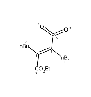 CCCCC(C(=O)OCC)=C(CCCC)P(=O)=O